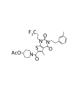 CC(=O)OC1CCN(C(=O)c2sc3c(c2C)c(=O)n(CCc2cccc(C)c2)c(=O)n3CCC(F)(F)F)CC1